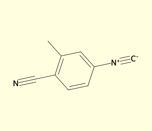 [C-]#[N+]c1ccc(C#N)c(C)c1